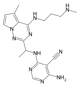 CNCCCNc1nc(C(C)Nc2ncnc(N)c2C#N)nn2ccc(C)c12